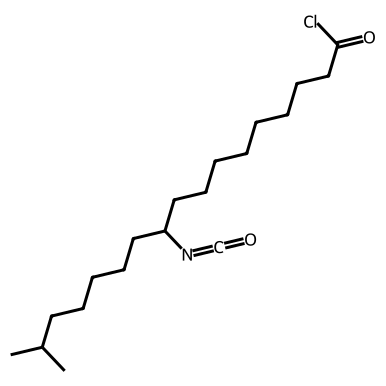 CC(C)CCCCCC(CCCCCCCCC(=O)Cl)N=C=O